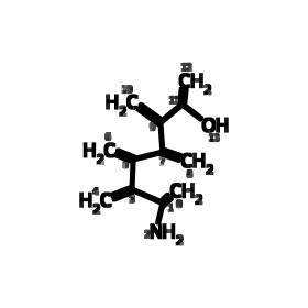 C=C(N)C(=C)C(=C)C(=C)C(=C)C(=C)O